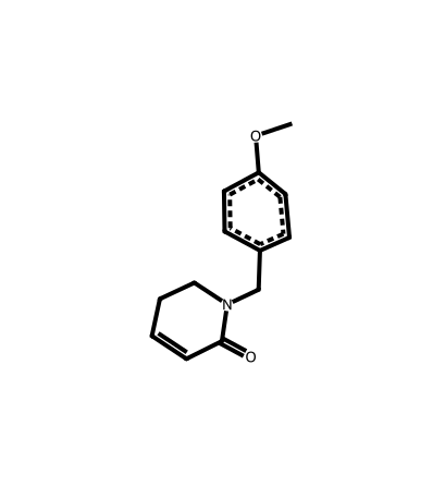 COc1ccc(CN2CCC=CC2=O)cc1